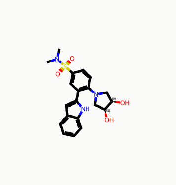 CN(C)S(=O)(=O)c1ccc(N2C[C@@H](O)[C@@H](O)C2)c(-c2cc3ccccc3[nH]2)c1